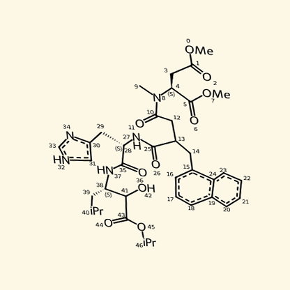 COC(=O)C[C@@H](C(=O)OC)N(C)C(=O)CC(Cc1cccc2ccccc12)C(=O)N[C@@H](Cc1c[nH]cn1)C(=O)N[C@@H](CC(C)C)C(O)C(=O)OC(C)C